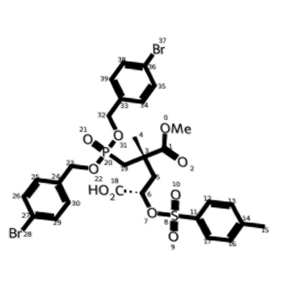 COC(=O)[C@](C)(C[C@H](OS(=O)(=O)c1ccc(C)cc1)C(=O)O)CP(=O)(OCc1ccc(Br)cc1)OCc1ccc(Br)cc1